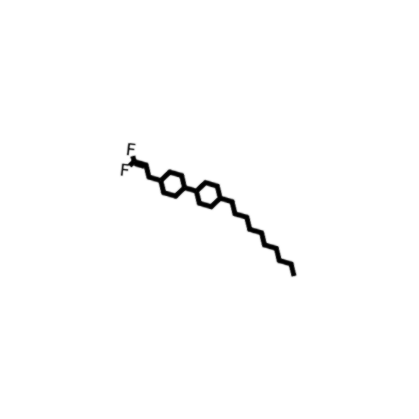 CCCCCCCCCCC1CCC(C2CCC(CC=C(F)F)CC2)CC1